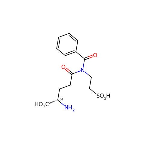 N[C@@H](CCC(=O)N(CCS(=O)(=O)O)C(=O)c1ccccc1)C(=O)O